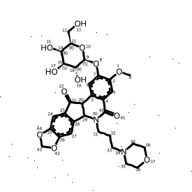 COc1cc2c(cc1O[C@@H]1O[C@H](CO)[C@H](O)[C@H](O)[C@H]1O)C1C(=O)c3cc4c(cc3C1N(CCCN1CCOCC1)C2=O)OCO4